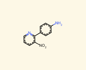 Nc1ccc(-c2ncccc2[N+](=O)[O-])cc1